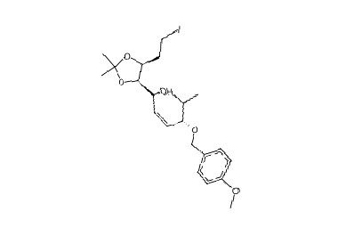 COc1ccc(CO[C@H](/C=C\C(O)[C@H]2OC(C)(C)O[C@H]2CCI)C(C)C)cc1